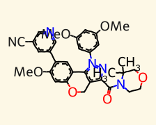 COc1cc(OC)cc(-n2nc(C(=O)N3CCOCC3(C)C)c3c2-c2cc(-c4cncc(C#N)c4)c(OC)cc2OC3)c1